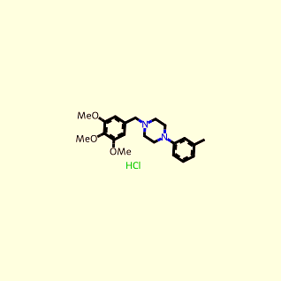 COc1cc(CN2CCN(c3cccc(C)c3)CC2)cc(OC)c1OC.Cl